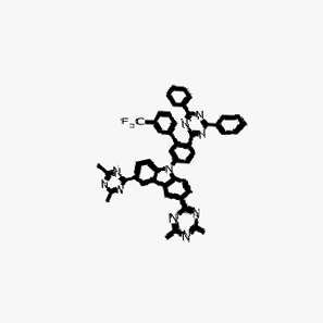 Cc1nc(C)nc(-c2ccc3c(c2)c2cc(-c4nc(C)nc(C)n4)ccc2n3-c2ccc(-c3nc(-c4ccccc4)nc(-c4ccccc4)n3)c(-c3cccc(C(F)(F)F)c3)c2)n1